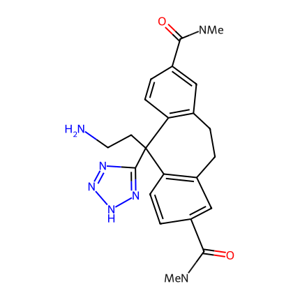 CNC(=O)c1ccc2c(c1)CCc1cc(C(=O)NC)ccc1C2(CCN)c1nn[nH]n1